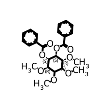 COC1[C@@H](OC)[C@H](OC(=O)c2ccccc2)[C@@H](OC(=O)c2ccccc2)[C@H](OC)[C@H]1OC